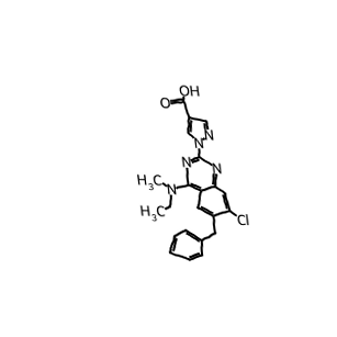 CCN(C)c1nc(-n2cc(C(=O)O)cn2)nc2cc(Cl)c(Cc3ccccc3)cc12